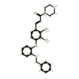 O=C(C=Cc1ccc(Sc2ccccc2OCc2ccccc2)c(C(F)(F)F)c1C(F)(F)F)N1CCOCC1